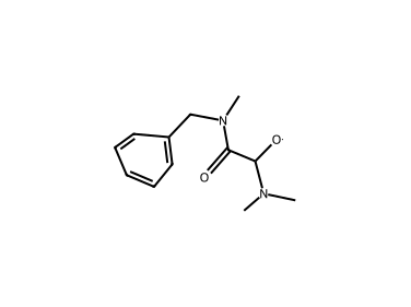 CN(Cc1ccccc1)C(=O)C([O])N(C)C